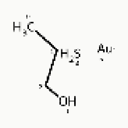 CCCO.S.[Au]